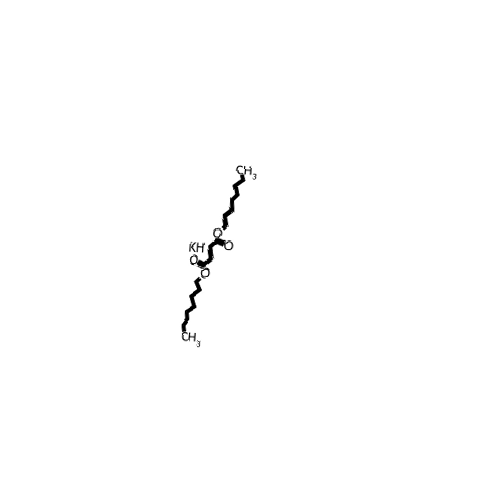 CCCCCCCCOC(=O)CCC(=O)OCCCCCCCC.[KH]